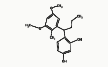 CCCC(c1ccc(O)cc1O)c1cc(OC)cc(OC)c1C